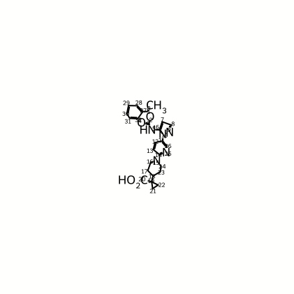 CC(OC(=O)Nc1ccnn1-c1ccc(N2CCC(C3(C(=O)O)CC3)CC2)nc1)c1ccccc1